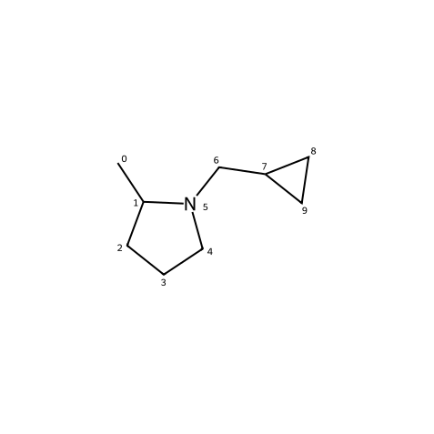 CC1CCCN1CC1CC1